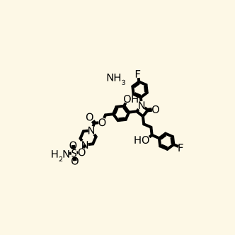 N.NS(=O)(=O)ON1CCN(C(=O)OCc2ccc(C3C(CCC(O)c4ccc(F)cc4)C(=O)N3c3ccc(F)cc3)c(O)c2)CC1